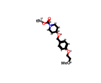 COCCOc1ccc(COC2CCN(C(=O)OC(C)(C)C)CC2)cc1